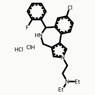 CCN(CC)CCn1cc2c(c1)-c1ccc(Cl)cc1C(c1ccccc1F)NC2.Cl.Cl